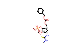 CNC(=S)N[C@H]1C[C@H](COC(=O)OCc2ccccc2)C(OP(=O)(O)OC)[C@@H]1OC